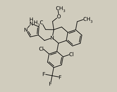 CCc1cccc2c1CC(CC)(COC)N(Cc1cn[nH]c1)C2c1c(Cl)cc(C(F)(F)F)cc1Cl